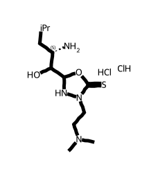 CC(C)C[C@H](N)C(O)C1NN(CCN(C)C)C(=S)O1.Cl.Cl